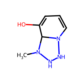 CN1NNN2C=CC=C(O)C12